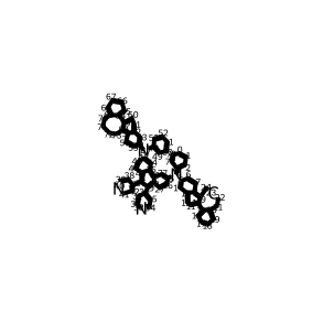 c1ccc(N(c2ccc3c4c(ccc3c2)-c2ccccc2CCCC4)c2ccc3c(-c4ccncc4)c(-c4ccncc4)c4ccc(N(c5ccccc5)c5ccc6c7c(ccc6c5)-c5ccccc5CCCC7)cc4c3c2)cc1